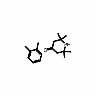 CC1(C)CC(=O)CC(C)(C)P1.Cc1ccccc1C